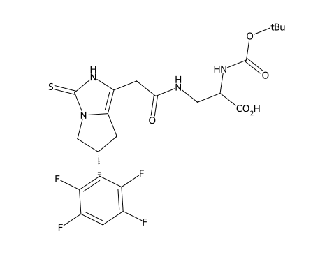 CC(C)(C)OC(=O)NC(CNC(=O)Cc1[nH]c(=S)n2c1C[C@H](c1c(F)c(F)cc(F)c1F)C2)C(=O)O